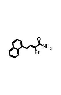 CC/C(=C\Cc1cccc2ccccc12)C(N)=O